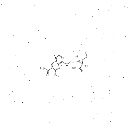 COc1cc2c(OC[C@H]3NC(=O)[C@@H]4C(CF)[C@@H]43)ccnc2cc1C(N)=O